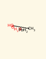 CCCCCCCCCCCCCCCCCC(=O)O.O.[PbH2]